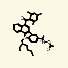 CCCCC(CC)Cn1c2ccc(/C(C)=N/OC(C)=O)cc2c2cc(C(=O)c3c(C)cc(C)cc3C)c3ccccc3c21